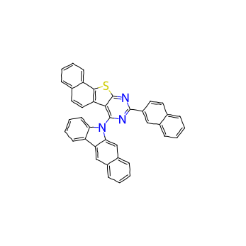 c1ccc2cc(-c3nc(-n4c5ccccc5c5cc6ccccc6cc54)c4c(n3)sc3c5ccccc5ccc34)ccc2c1